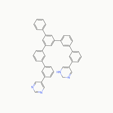 C1=NCNC=C1c1cccc(-c2cccc(-c3cc(-c4ccccc4)cc(-c4cccc(-c5cccc(-c6cncnc6)c5)c4)c3)c2)c1